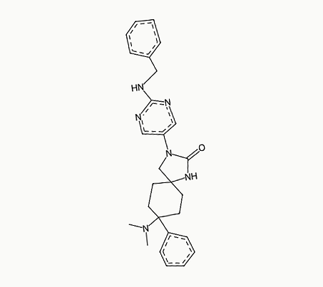 CN(C)C1(c2ccccc2)CCC2(CC1)CN(c1cnc(NCc3ccccc3)nc1)C(=O)N2